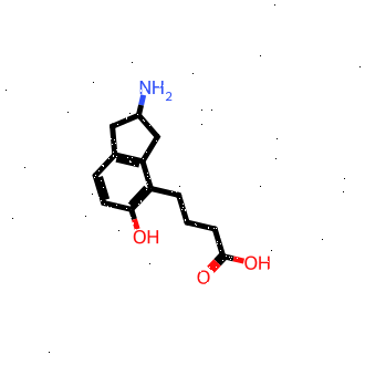 NC1Cc2ccc(O)c(CCCC(=O)O)c2C1